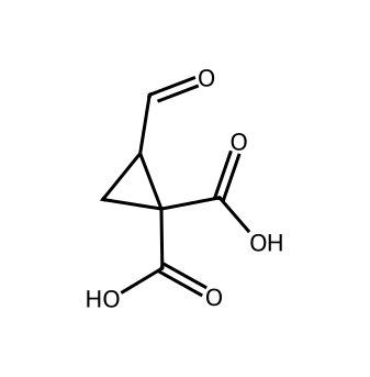 O=CC1CC1(C(=O)O)C(=O)O